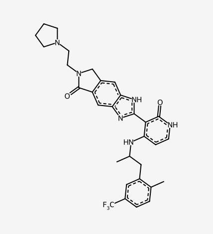 Cc1ccc(C(F)(F)F)cc1CC(C)Nc1cc[nH]c(=O)c1-c1nc2cc3c(cc2[nH]1)CN(CCN1CCCC1)C3=O